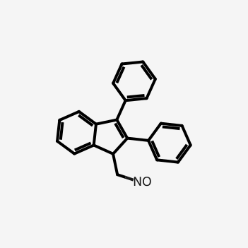 O=NCC1C(c2ccccc2)=C(c2ccccc2)c2ccccc21